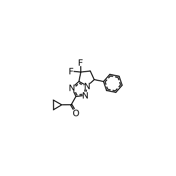 O=C(c1nc2n(n1)C(c1ccccc1)CC2(F)F)C1CC1